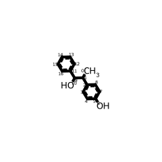 CC(c1ccc(O)cc1)C(O)c1ccccc1